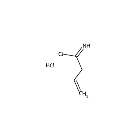 C=CCC(=N)Cl.Cl